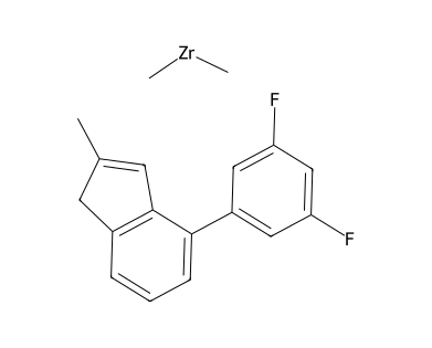 CC1=Cc2c(cccc2-c2cc(F)cc(F)c2)C1.[CH3][Zr][CH3]